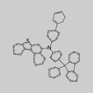 C1=CCCC(c2ccc(N(c3ccc(C4(c5ccccc5)c5ccccc5-c5ccccc54)cc3)c3cc4sc5ccccc5c4c4ccccc34)cc2)=C1